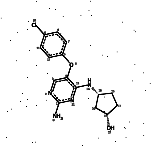 Nc1ncc(Oc2ccc(Cl)cc2)c(N[C@@H]2CC[C@H](O)C2)n1